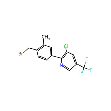 Cc1cc(-c2ncc(C(F)(F)F)cc2Cl)ccc1CBr